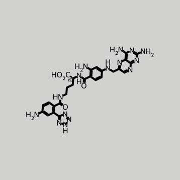 Nc1ccc(C(=O)NCCC[C@H](NC(=O)c2ccc(NCc3cnc4nc(N)nc(N)c4n3)cc2N)C(=O)O)c(-c2nn[nH]n2)c1